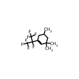 CC1[CH]C(C)(C)C=C(C(F)(C(F)(F)F)C(F)(F)F)C1